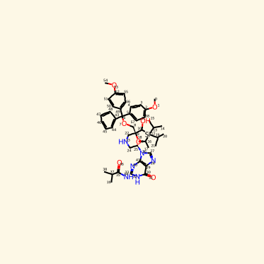 COc1ccc(C(OC[C@]2(C(O)[Si](C(C)C)(C(C)C)C(C)C)CNC[C@H](n3cnc4c(=O)[nH]c(NC(=O)C(C)C)nc43)O2)(c2ccccc2)c2ccc(OC)cc2)cc1